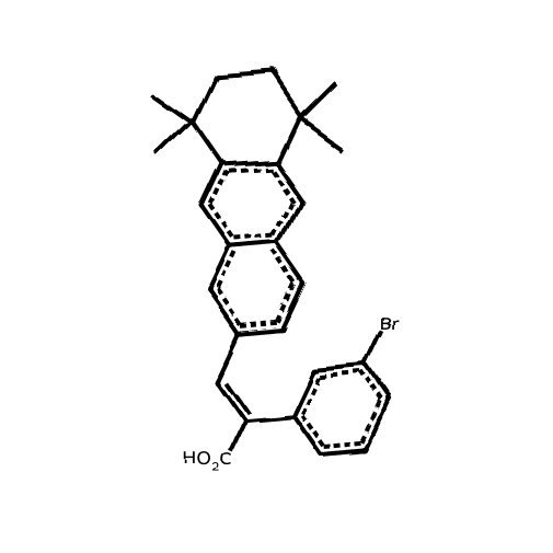 CC1(C)CCC(C)(C)c2cc3cc(/C=C(/C(=O)O)c4cccc(Br)c4)ccc3cc21